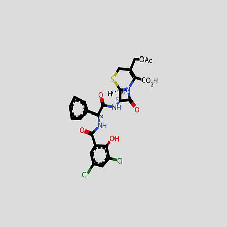 CC(=O)OCC1=C(C(=O)O)N2C(=O)[C@@H](NC(=O)[C@@H](NC(=O)c3cc(Cl)cc(Cl)c3O)c3ccccc3)[C@H]2SC1